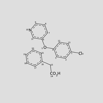 Clc1ccc(Oc2cccnc2)cc1.O=C(O)Cc1ccccc1